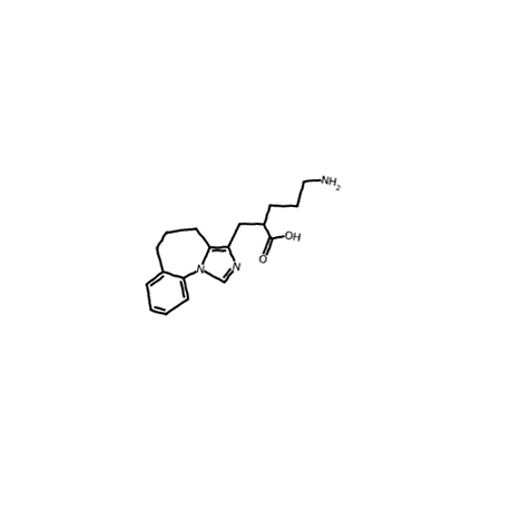 NCCCC(Cc1ncn2c1CCCc1ccccc1-2)C(=O)O